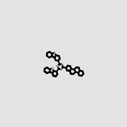 c1ccc2c(c1)ccc1c3ccc(-c4nc(-c5ccc6sc7ccccc7c6c5)nc(-c5cccc6c5oc5ccccc56)n4)cc3ccc21